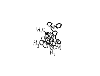 CCCCC(C)(Pc1c(C)cccc1CN(c1ccccc1)c1ccccc1)c1cc(C(C)(C)C)cc(C(C)(C)C)c1OCc1ccccc1